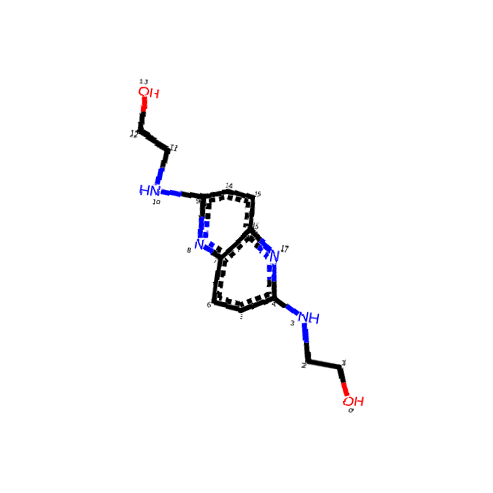 OCCNc1ccc2nc(NCCO)ccc2n1